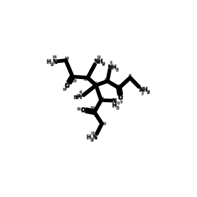 [CH2]CCC(C(N)C(=O)CN)(C(N)C(=O)CN)C(N)C(=O)CN